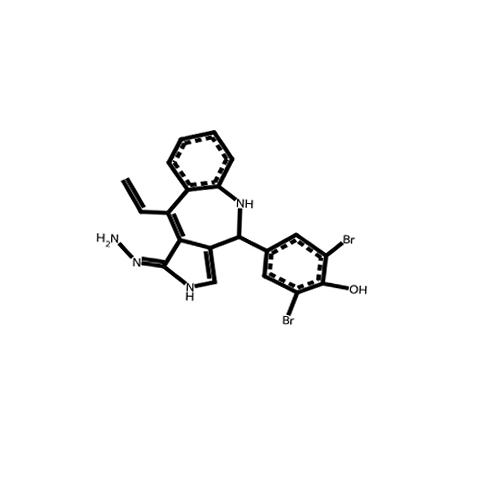 C=CC1=C2C(=CN/C2=N/N)C(c2cc(Br)c(O)c(Br)c2)Nc2ccccc21